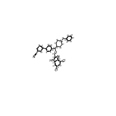 N#Cc1cccc(-c2ccc(C(OCc3nc4c(Cl)cc(Cl)cc4[nH]3)C3CCN(Cc4ccccc4)CC3)cc2)c1